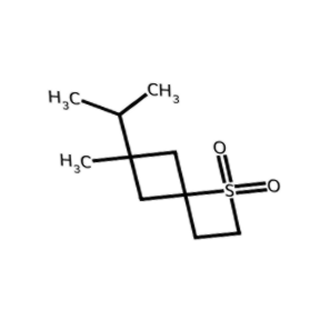 CC(C)C1(C)CC2(CCS2(=O)=O)C1